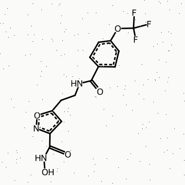 O=C(NCCc1cc(C(=O)NO)no1)c1ccc(OC(F)(F)F)cc1